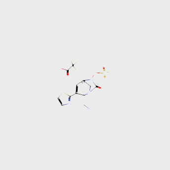 NC[C@@H]1C(c2nccs2)=C[C@@H]2CN1C(=O)N2OS(=O)(=O)O.O=C(O)C(F)(F)F